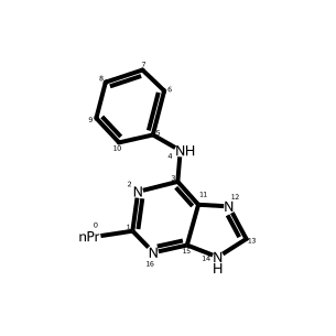 CCCc1nc(Nc2ccccc2)c2nc[nH]c2n1